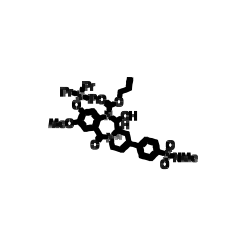 C=CCOC(=O)N1c2cc(O[Si](C(C)C)(C(C)C)C(C)C)c(OC)cc2C(=O)N2CC=C(c3ccc(S(=O)(=O)NC)cc3)C[C@H]2C1O